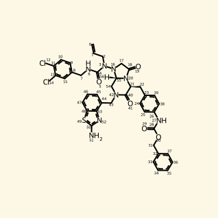 C=CCN(C(=O)NCc1ccc(Cl)c(Cl)c1)N1CC(=O)N2[C@@H](Cc3ccc(NC(=O)OCc4ccccc4)cc3)C(=O)N(Cc3cccc4sc(N)nc34)C[C@@H]21